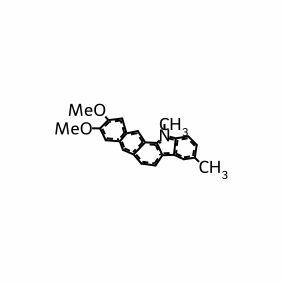 COc1cc2cc3ccc4c5cc(C)ccc5n(C)c4c3cc2cc1OC